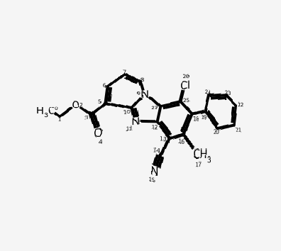 CCOC(=O)c1cccn2c1nc1c(C#N)c(C)c(-c3ccccc3)c(Cl)c12